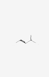 [Li][CH]([Li])C=CC